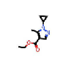 CCOC(=O)c1cnn(C2CC2)c1C